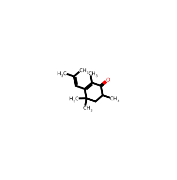 CC(C)=CC1=C(C)C(=O)C(C)CC1(C)C